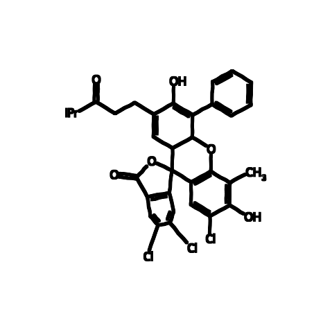 Cc1c(O)c(Cl)cc2c1OC1C(c3ccccc3)=C(O)C(CCC(=O)C(C)C)=CC1C21OC(=O)c2cc(Cl)c(Cl)cc21